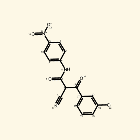 N#CC(C(=O)Nc1ccc([N+](=O)[O-])cc1)C(=O)c1cccc(Cl)c1